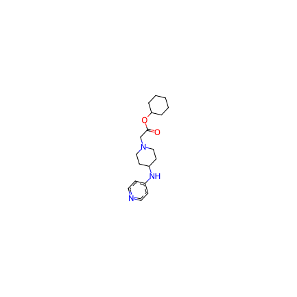 O=C(CN1CCC(Nc2ccncc2)CC1)OC1CCCCC1